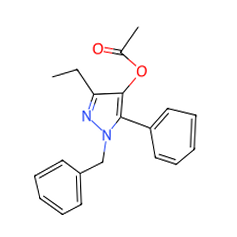 CCc1nn(Cc2ccccc2)c(-c2ccccc2)c1OC(C)=O